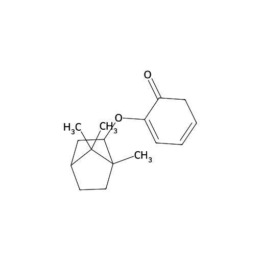 CC1(C)C2CCC1(C)C(OC1=CC=CCC1=O)C2